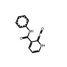 O=C=C1NC=CC=C1C(=O)Nc1ccccc1